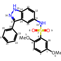 COc1ccc(OC)c(S(=O)(=O)Nc2ccc3[nH]nc(-c4ccccc4)c3c2)c1